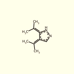 CC(C)=c1cn[nH]c1=C(C)C